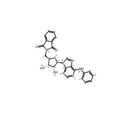 O=C1c2ccccc2C(=O)N1C[C@H]1O[C@@H](n2cnc3c(Nc4ccccc4)ncnc32)[C@H](O)[C@@H]1O